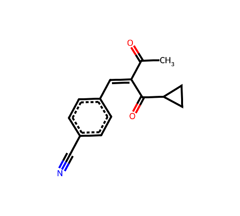 CC(=O)C(=Cc1ccc(C#N)cc1)C(=O)C1CC1